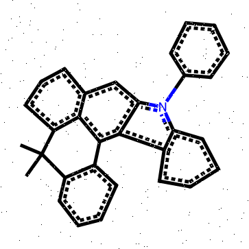 CC1(C)c2ccccc2-c2c3c1cccc3cc1c2c2ccccc2n1-c1ccccc1